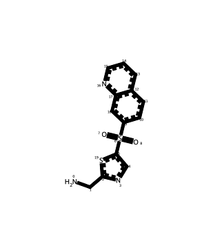 NCc1ncc(S(=O)(=O)c2ccc3cccnc3c2)s1